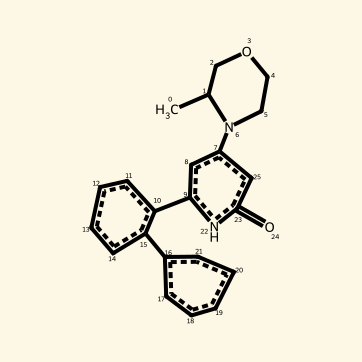 CC1COCCN1c1cc(-c2ccccc2-c2ccccc2)[nH]c(=O)c1